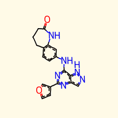 O=C1CCCc2ccc(Nc3nc(-c4ccoc4)nc4cn[nH]c34)cc2N1